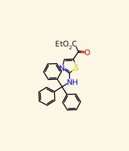 CCOC(=O)C(=O)c1cnc(NC(c2ccccc2)(c2ccccc2)c2ccccc2)s1